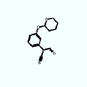 N#CC(C=O)c1cccc(OC2CCCCO2)c1